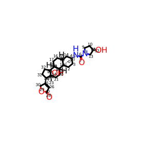 C[C@@]12CC[C@@H](NC(=O)N3CC[C@@H](O)C3)C[C@H]1CC[C@@H]1[C@H]2CC[C@]2(C)[C@@H](C3=CC(=O)OC3)CC[C@@]12O